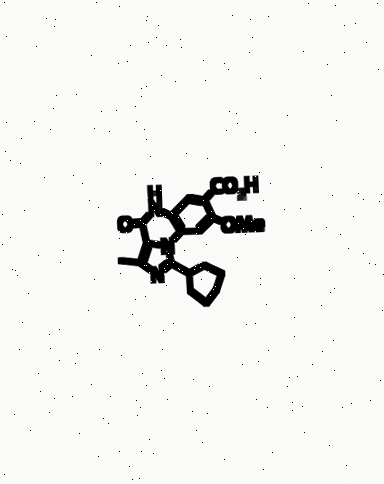 COc1cc2c(cc1C(=O)O)[nH]c(=O)c1c(C)nc(C3CCCCC3)n12